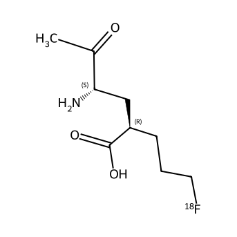 CC(=O)[C@@H](N)C[C@@H](CCC[18F])C(=O)O